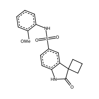 COc1ccccc1NS(=O)(=O)c1ccc2c(c1)C1(CCC1)C(=O)N2